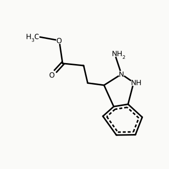 COC(=O)CCC1c2ccccc2NN1N